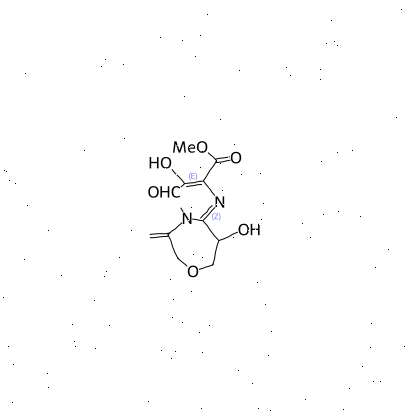 C=C1COCC(O)/C(=N/C(C(=O)OC)=C(/O)C=O)N1C